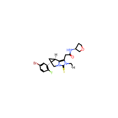 [2H]Cn1c(CC(=O)N[C@H]2CCOC2)c2n(c1=S)C[C@@]1(c3cc(Br)ccc3F)C[C@@H]21